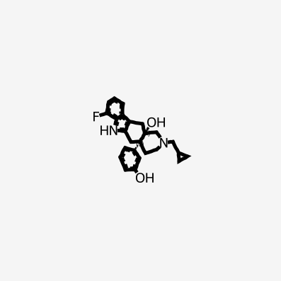 Oc1cccc([C@@]23CCN(CC4CC4)C[C@@]2(O)Cc2c([nH]c4c(F)cccc24)C3)c1